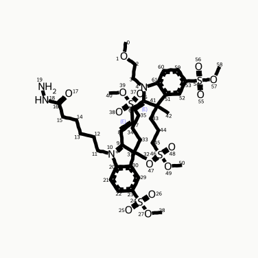 COCCN1/C(=C/C=C/C2=[N+](CCCCCC(=O)NN)c3ccc(S(=O)(=O)OC)cc3C2(C)CCCS(=O)(=O)OC)C(C)(CCCS(=O)(=O)OC)c2cc(S(=O)(=O)OC)ccc21